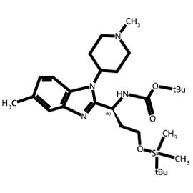 Cc1ccc2c(c1)nc([C@H](CCO[Si](C)(C)C(C)(C)C)NC(=O)OC(C)(C)C)n2C1CCN(C)CC1